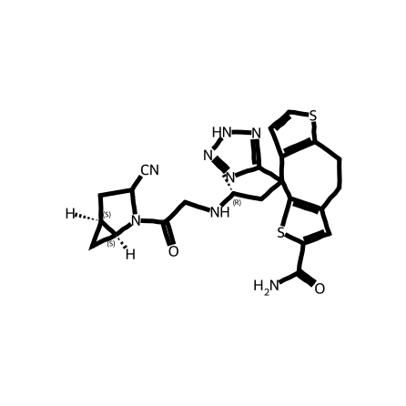 C[C@H](CC1(c2nn[nH]n2)c2ccsc2CCc2cc(C(N)=O)sc21)NCC(=O)N1C(C#N)C[C@@H]2C[C@@H]21